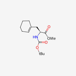 COC(=O)[C@H](CC1=CCCCC1)NC(=O)OC(C)(C)C